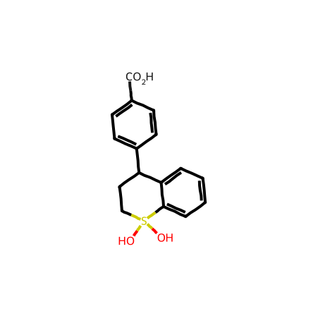 O=C(O)c1ccc(C2CCS(O)(O)c3ccccc32)cc1